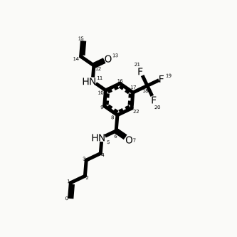 C=CCCCNC(=O)c1cc(NC(=O)C=C)cc(C(F)(F)F)c1